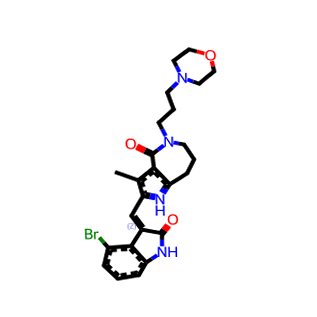 Cc1c(/C=C2\C(=O)Nc3cccc(Br)c32)[nH]c2c1C(=O)N(CCCN1CCOCC1)CCC2